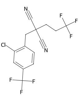 N#CC(C#N)(CCC(F)(F)F)Cc1ccc(C(F)(F)F)cc1Cl